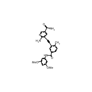 COc1cc(NC(=O)c2ccc(C)c(C#Cc3cc(C(N)=O)cnc3N)c2)cc(OC)c1